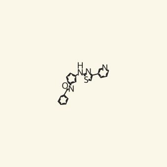 c1ccc(-c2nc3cc(Nc4nc(-c5cccnc5)cs4)ccc3o2)cc1